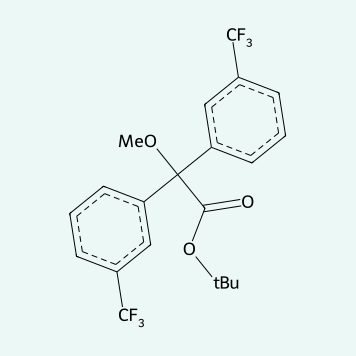 COC(C(=O)OC(C)(C)C)(c1cccc(C(F)(F)F)c1)c1cccc(C(F)(F)F)c1